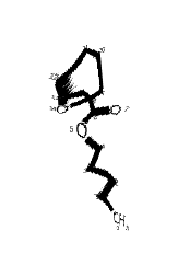 CCCCCOC(=O)C12CCCCC1O2